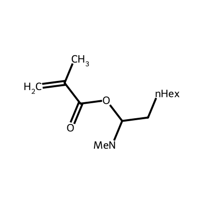 C=C(C)C(=O)OC(CCCCCCC)NC